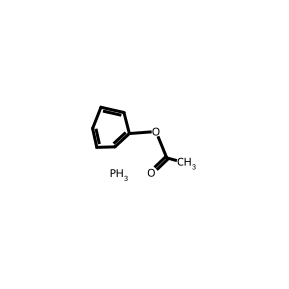 CC(=O)Oc1ccccc1.P